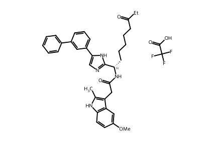 CCC(=O)CCCCC[C@H](NC(=O)Cc1c(C)[nH]c2ccc(OC)cc12)c1ncc(-c2cccc(-c3ccccc3)c2)[nH]1.O=C(O)C(F)(F)F